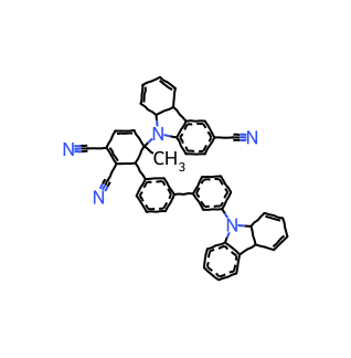 CC1(N2c3ccc(C#N)cc3C3C=CC=CC32)C=CC(C#N)=C(C#N)C1c1cccc(-c2cccc(N3c4ccccc4C4C=CC=CC43)c2)c1